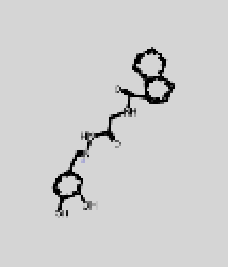 O=C(CNC(=O)c1cccc2ccccc12)N/N=C/c1ccc(O)c(O)c1